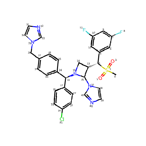 CS(=O)(=O)[C@@H](c1cc(F)cc(F)c1)C1CN([C@@H](c2ccc(Cl)cc2)c2ccc(Cn3ccnc3)cc2)C1n1ccnc1